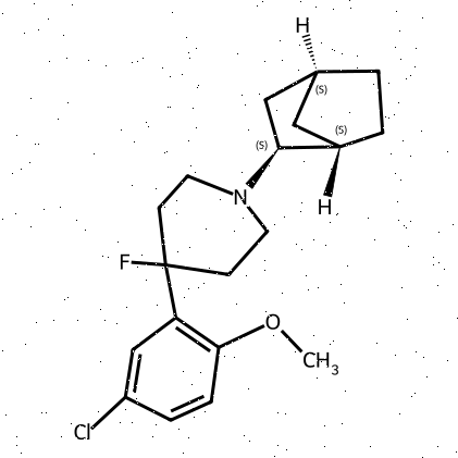 COc1ccc(Cl)cc1C1(F)CCN([C@H]2C[C@H]3CC[C@H]2C3)CC1